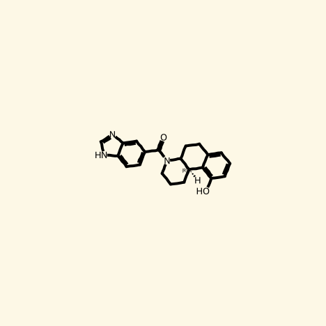 O=C(c1ccc2[nH]cnc2c1)N1CCC[C@@H]2c3c(O)cccc3CCC21